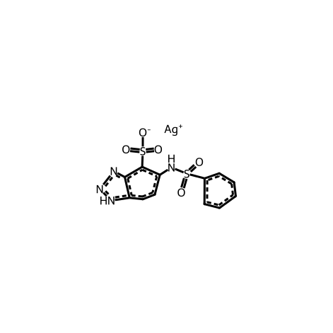 O=S(=O)([O-])c1c(NS(=O)(=O)c2ccccc2)ccc2[nH]nnc12.[Ag+]